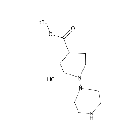 CC(C)(C)OC(=O)C1CCN(N2CCNCC2)CC1.Cl